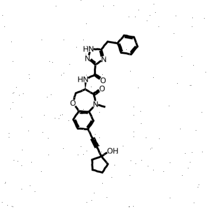 CN1C(=O)[C@H](NC(=O)c2n[nH]c(Cc3ccccc3)n2)COc2ccc(C#CC3(O)CCCC3)cc21